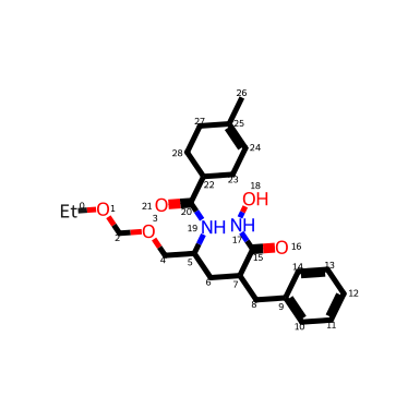 CCOCOCC(CC(Cc1ccccc1)C(=O)NO)NC(=O)C1CC=C(C)CC1